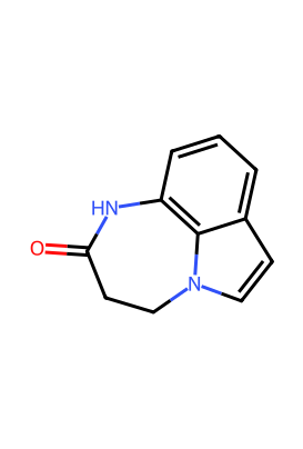 O=C1CCn2ccc3cccc(c32)N1